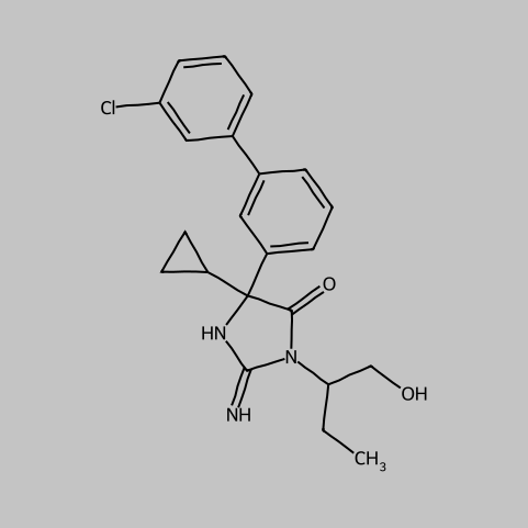 CCC(CO)N1C(=N)NC(c2cccc(-c3cccc(Cl)c3)c2)(C2CC2)C1=O